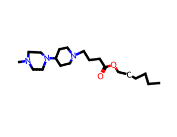 CCCCCCOC(=O)CCCN1CCC(N2CCN(C)CC2)CC1